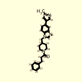 Cn1cc(-c2ccc3c(c2)ncn3CC2CCN(C(=O)CCc3ccccc3)CC2)cn1